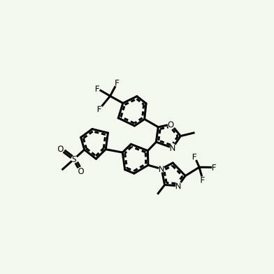 Cc1nc(-c2cc(-c3cccc(S(C)(=O)=O)c3)ccc2-n2cc(C(F)(F)F)nc2C)c(-c2ccc(C(F)(F)F)cc2)o1